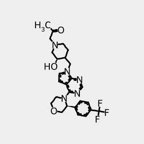 CC(=O)CN1CCC(Cn2ccc3c(N4CCOC[C@@H]4c4ccc(C(F)(F)F)cc4)ncnc32)[C@@H](O)C1